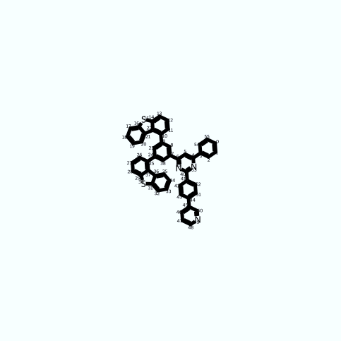 c1ccc(-c2cc(-c3cc(-c4cccc5sc6ccccc6c45)cc(-c4cccc5sc6ccccc6c45)c3)nc(-c3ccc(-c4cccnc4)cc3)n2)cc1